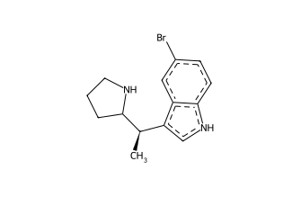 C[C@H](c1c[nH]c2ccc(Br)cc12)C1CCCN1